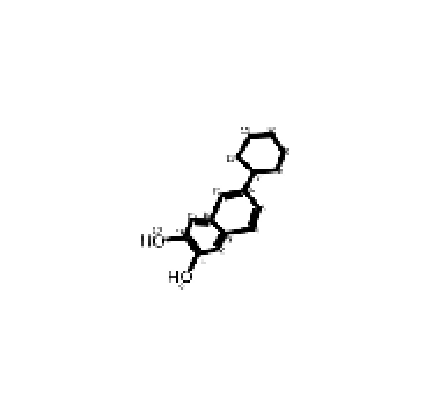 Oc1cc2ccc(C3CCCCC3)cc2cc1O